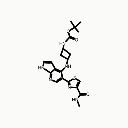 CNC(=O)c1csc(-c2cnc3[nH]ccc3c2NC2CC(NC(=O)OC(C)(C)C)C2)n1